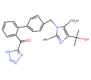 CCCc1nc(C(C)(C)O)c(C(=O)O)n1Cc1ccc(-c2ccccc2C(=O)c2nnn[nH]2)cc1